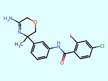 CC1(c2cccc(NC(=O)c3ccc(Cl)cc3I)c2)COCC(N)=N1